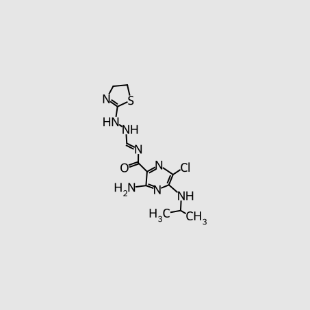 CC(C)Nc1nc(N)c(C(=O)N=CNNC2=NCCS2)nc1Cl